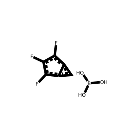 Fc1c2cc-2c(F)c1F.OB(O)O